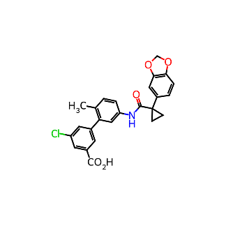 Cc1ccc(NC(=O)C2(c3ccc4c(c3)OCO4)CC2)cc1-c1cc(Cl)cc(C(=O)O)c1